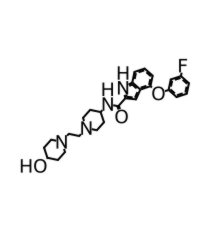 O=C(NC1CCN(CCN2CCC(O)CC2)CC1)c1cc2c(Oc3cccc(F)c3)cccc2[nH]1